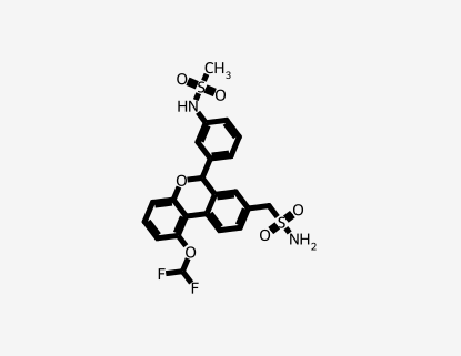 CS(=O)(=O)Nc1cccc(C2Oc3cccc(OC(F)F)c3-c3ccc(CS(N)(=O)=O)cc32)c1